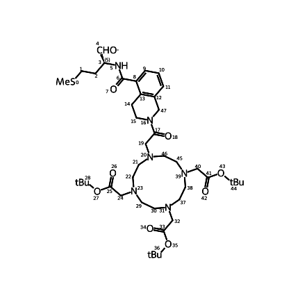 CSCC[C@@H]([C]=O)NC(=O)c1cccc2c1CCN(C(=O)CN1CCN(CC(=O)OC(C)(C)C)CCN(CC(=O)OC(C)(C)C)CCN(CC(=O)OC(C)(C)C)CC1)C2